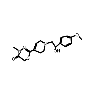 COc1ccc(C(O)CN2CC=C(C3=NN(C)C(=O)CS3)CC2)cc1